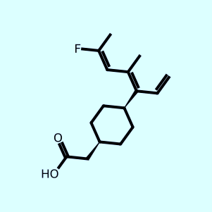 C=C/C(=C(C)/C=C(\C)F)[C@H]1CC[C@@H](CC(=O)O)CC1